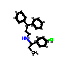 CCC(NCCC(c1ccccc1)c1ccccc1)c1ccc(Cl)cc1